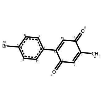 CC1=CC(=O)C(c2ccc(Br)cc2)=CC1=O